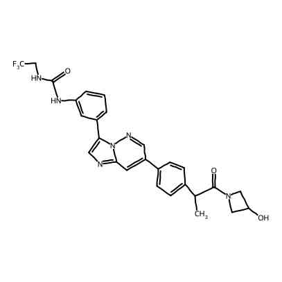 CC(C(=O)N1CC(O)C1)c1ccc(-c2cnn3c(-c4cccc(NC(=O)NCC(F)(F)F)c4)cnc3c2)cc1